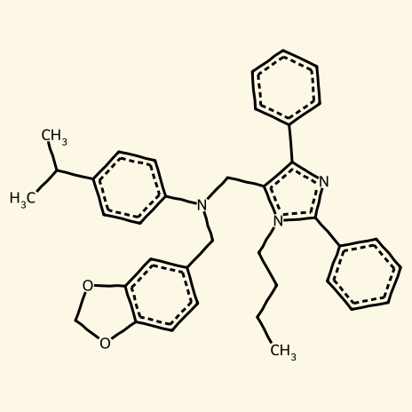 CCCCn1c(-c2ccccc2)nc(-c2ccccc2)c1CN(Cc1ccc2c(c1)OCO2)c1ccc(C(C)C)cc1